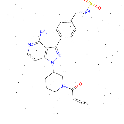 C=CC(=O)N1CCCC(n2nc(-c3ccc(CNS(C)(=O)=O)cc3)c3c(N)nccc32)C1